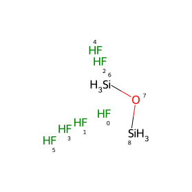 F.F.F.F.F.F.[SiH3]O[SiH3]